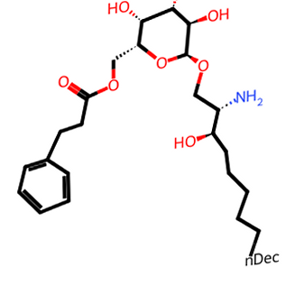 CCCCCCCCCCCCCCC[C@@H](O)[C@@H](N)CO[C@H]1O[C@H](COC(=O)CCc2ccccc2)[C@H](O)[C@H](O)[C@H]1O